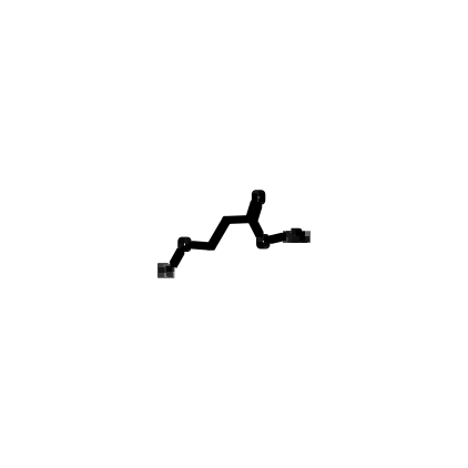 [CH2]COCCC(=O)OCCCC